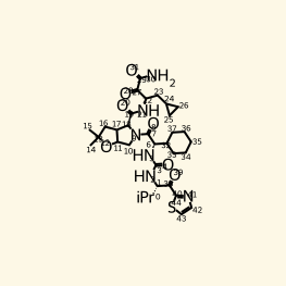 CC(C)[C@H](NC(=O)N[C@H](C(=O)N1CC2OC(C)(C)CC2[C@H]1C(=O)NC(CC1CC1)C(=O)C(N)=O)C1CCCCC1)C(=O)c1nccs1